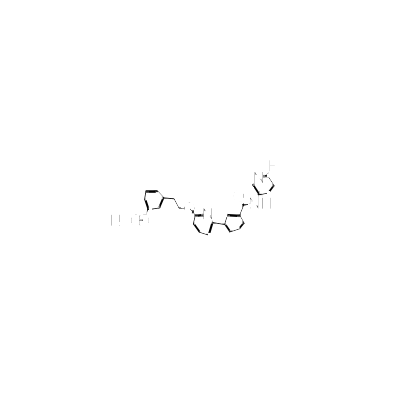 COc1cccc(CCOc2cccc(-c3cccc(C(=O)Nc4ccc(F)nc4)c3)n2)c1